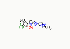 Cc1cn2c(n1)CC[C@H](n1cc3ccc(-c4c(C)cc(C(F)(F)F)cc4O)nc3n1)C2